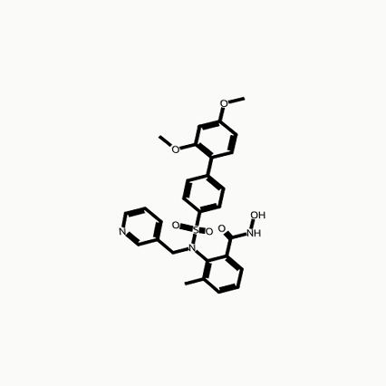 COc1ccc(-c2ccc(S(=O)(=O)N(Cc3cccnc3)c3c(C)cccc3C(=O)NO)cc2)c(OC)c1